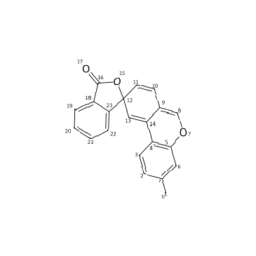 Cc1ccc2c(c1)OC=C1C=CC3(C=C12)OC(=O)c1ccccc13